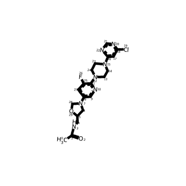 CC(=O)NCC1CN(c2cnc(N3CCN(c4cc(Cl)ncn4)CC3)c(F)c2)CO1